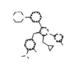 N[S+]([O-])c1ccc(Cc2c(-c3cccc(N4CCOCC4)c3)nn(-c3ncc(C(=O)O)s3)c2CC2CC2)cc1F